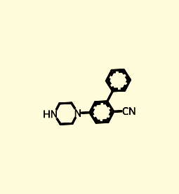 N#Cc1ccc(N2CCNCC2)cc1-c1ccccc1